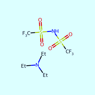 CCN(CC)CC.O=S(=O)(NS(=O)(=O)C(F)(F)F)C(F)(F)F